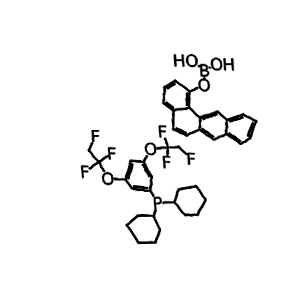 FCC(F)(F)Oc1cc(OC(F)(F)CF)cc(P(C2CCCCC2)C2CCCCC2)c1.OB(O)Oc1cccc2ccc3cc4ccccc4cc3c12